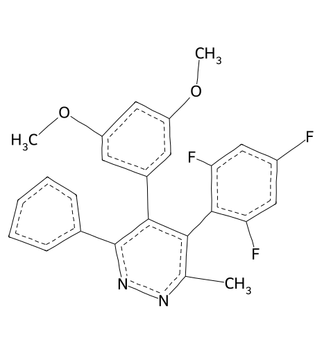 COc1cc(OC)cc(-c2c(-c3ccccc3)nnc(C)c2-c2c(F)cc(F)cc2F)c1